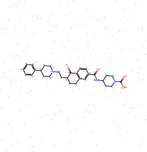 O=C(NC1CCN(C(=O)O)CC1)c1ccc2c(c1)CCC(CCN1CCC(c3ccccc3)CC1)C2=O